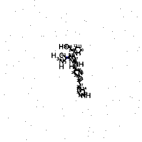 CC/C(C=N)=C1\N=C(N2CCCCC2CCO)C=C(NCc2ccc(OCCCN3CCNCC3)nc2)N1